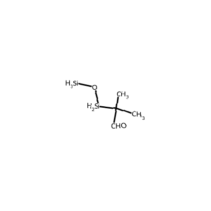 CC(C)(C=O)[SiH2]O[SiH3]